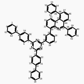 c1ccc(-c2ccc(-c3nc(-c4ccc(-c5ccccc5)cc4)nc(-c4cccc(-c5cccc6c5nc(-c5ccccc5)c5cccc(-c7ccccc7)c56)c4)n3)cc2)cc1